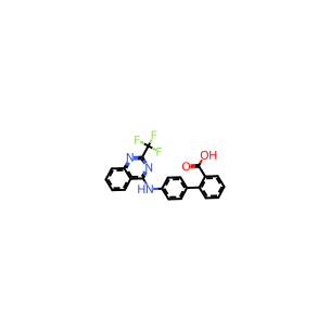 O=C(O)c1ccccc1-c1ccc(Nc2nc(C(F)(F)F)nc3ccccc23)cc1